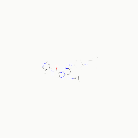 N#CCCN(C(=O)O)[C@H]1CC[C@H](Nc2cc(NC3CC3)c3ncc(C(=O)Nc4ccncc4F)n3n2)CC1